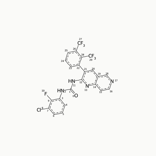 O=C(Nc1cccc(Cl)c1F)Nc1nc2ccncc2cc1-c1cccc(C(F)(F)F)c1C(F)(F)F